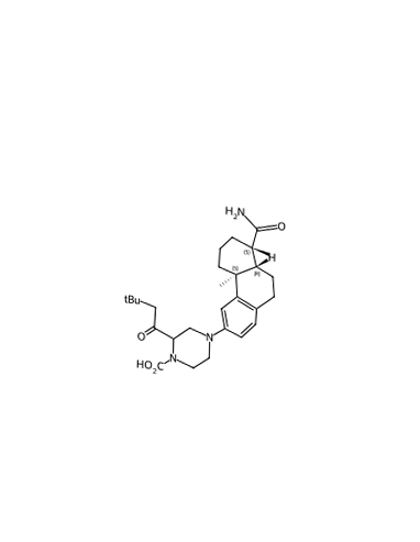 CC(C)(C)CC(=O)C1CN(c2ccc3c(c2)[C@@]2(C)CCC[C@](C)(C(N)=O)[C@@H]2CC3)CCN1C(=O)O